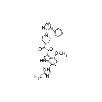 COc1cnc(-n2cnc(C)n2)c2[nH]cc(C(=O)C(=O)N3CCN(c4ncnn4-c4ccccc4)CC3)c12